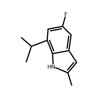 Cc1cc2cc(F)cc(C(C)C)c2[nH]1